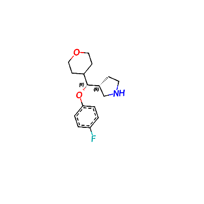 Fc1ccc(O[C@H](C2CCOCC2)[C@@H]2CCNC2)cc1